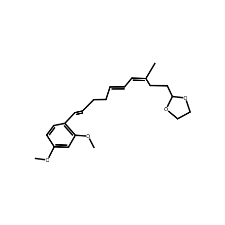 COc1ccc(C=CCCC=CC=C(C)CCC2OCCO2)c(OC)c1